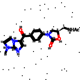 CC(=O)NC[C@H]1CN(c2ccc(C(=O)c3cnc4n(C)ccn34)cc2)C(=O)O1